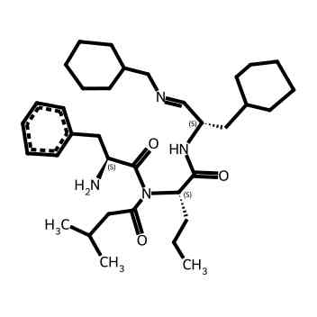 CCC[C@@H](C(=O)N[C@H](C=NCC1CCCCC1)CC1CCCCC1)N(C(=O)CC(C)C)C(=O)[C@@H](N)Cc1ccccc1